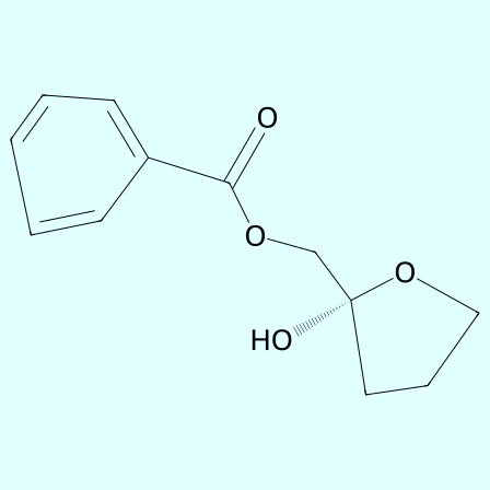 O=C(OC[C@]1(O)CCCO1)c1ccccc1